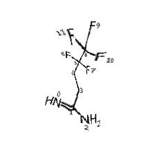 N=C(N)CCC(F)(F)C(F)(F)F